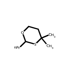 CCCC1OCCC(C)(C)S1